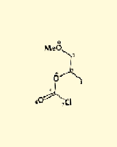 COCC(C)OC(=O)Cl